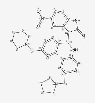 O=C1Nc2ccc([N+](=O)[O-])cc2/C1=C(/Nc1ccc(CN2CCCC2)cc1)c1ccc(CN2CCCCC2)cc1